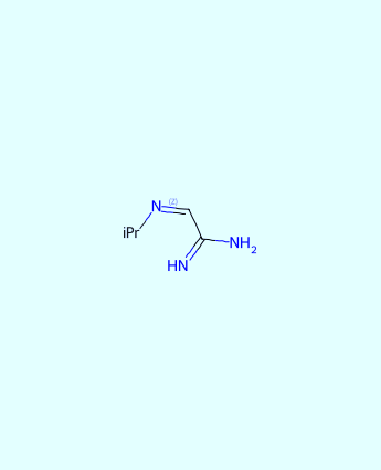 CC(C)/N=C\C(=N)N